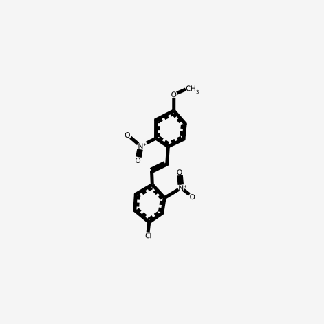 COc1ccc(C=Cc2ccc(Cl)cc2[N+](=O)[O-])c([N+](=O)[O-])c1